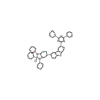 O=P1(c2ccccc2)N(c2ccccc2)c2ccc(-c3ccc4sc5ccc(-c6nc(-c7ccccc7)nc(-c7ccccc7)n6)cc5c4c3)cc2N1c1ccccc1